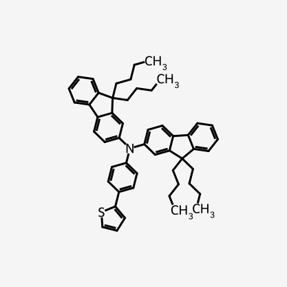 CCCCC1(CCCC)c2ccccc2-c2ccc(N(c3ccc(-c4cccs4)cc3)c3ccc4c(c3)C(CCCC)(CCCC)c3ccccc3-4)cc21